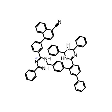 N#Cc1ccc(-c2cccc(/C(=N/C(=N)c3ccccc3)NCc3ccc(-c4cc(-c5ccccc5)ccc4C4=NC(c5ccccc5)NC(c5ccccc5)N4)cc3)c2)c2ccccc12